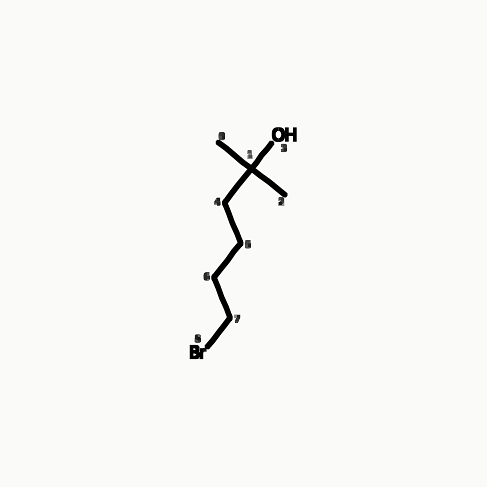 CC(C)(O)CCCCBr